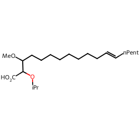 CCCCC/C=C/CCCCCCCCC(OC)C(OC(C)C)C(=O)O